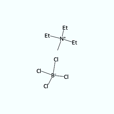 CC[N+](C)(CC)CC.Cl[B-](Cl)(Cl)Cl